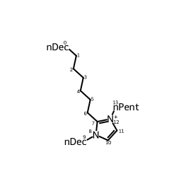 CCCCCCCCCCCCCCCCc1n(CCCCCCCCCC)cc[n+]1CCCCC